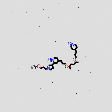 CC(C)OCCCN1CCC(C2CC(CCCOC(C)CCC(C)OCCCC3CCNCC3)CCN2)C1